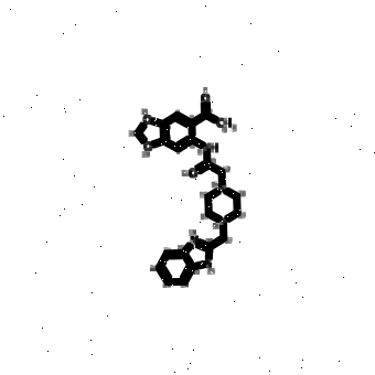 CC(=O)c1cc2c(cc1NC(=O)CN1CCN(Cc3nc4ccccc4s3)CC1)OCO2